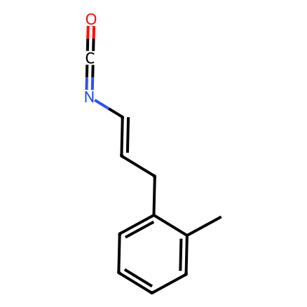 Cc1ccccc1CC=CN=C=O